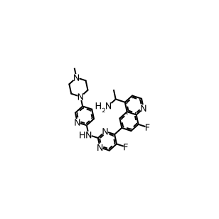 CC(N)c1ccnc2c(F)cc(-c3nc(Nc4ccc(N5CCN(C)CC5)cn4)ncc3F)cc12